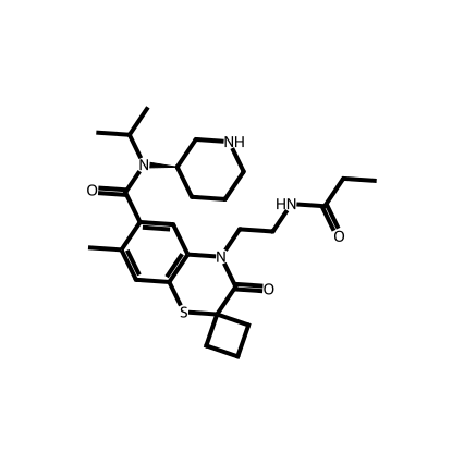 CCC(=O)NCCN1C(=O)C2(CCC2)Sc2cc(C)c(C(=O)N(C(C)C)[C@@H]3CCCNC3)cc21